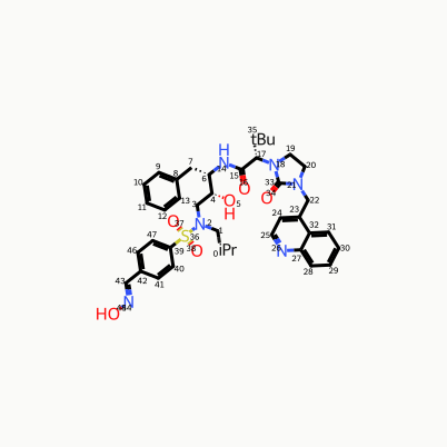 CC(C)CN(C[C@@H](O)[C@H](Cc1ccccc1)NC(=O)[C@@H](N1CCN(Cc2ccnc3ccccc23)C1=O)C(C)(C)C)S(=O)(=O)c1ccc(C=NO)cc1